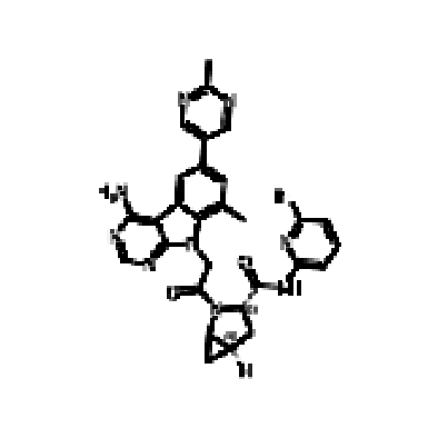 Cc1ncc(-c2cc(C)c3c(c2)c2c(N)ncnc2n3CC(=O)N2C3C[C@@H]3C[C@H]2C(=O)Nc2cccc(Br)n2)cn1